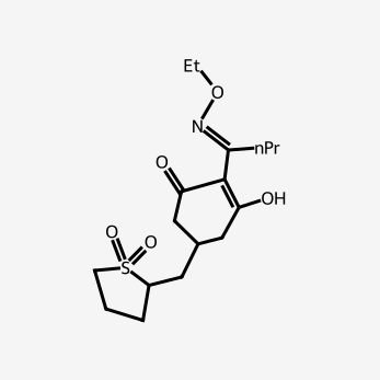 CCCC(=NOCC)C1=C(O)CC(CC2CCCS2(=O)=O)CC1=O